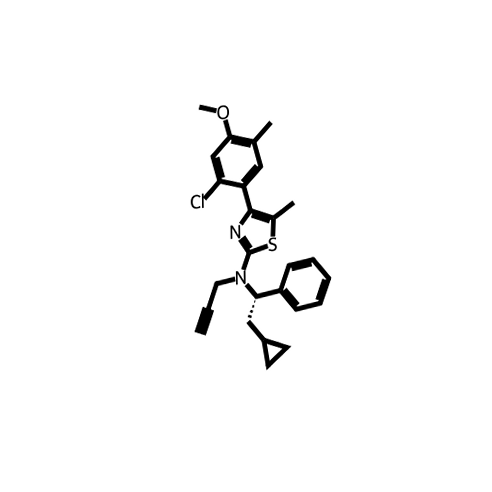 C#CCN(c1nc(-c2cc(C)c(OC)cc2Cl)c(C)s1)[C@@H](CC1CC1)c1ccccc1